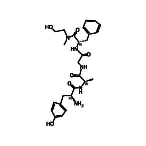 C[C@@H](NC(=O)[C@@H](N)Cc1ccc(O)cc1)C(=O)NCC(=O)N[C@@H](Cc1ccccc1)C(=O)N(C)CCO